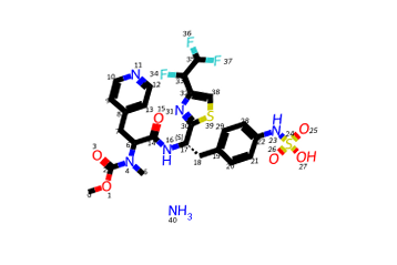 COC(=O)N(C)C(Cc1ccncc1)C(=O)N[C@@H](Cc1ccc(NS(=O)(=O)O)cc1)c1nc(C(F)C(F)F)cs1.N